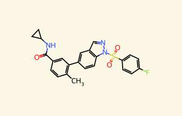 Cc1ccc(C(=O)NC2CC2)cc1-c1ccc2c(cnn2S(=O)(=O)c2ccc(F)cc2)c1